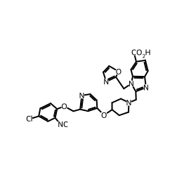 [C-]#[N+]c1cc(Cl)ccc1OCc1cc(OC2CCN(Cc3nc4ccc(C(=O)O)cc4n3Cc3ncco3)CC2)ccn1